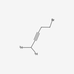 [2H]C([2H])C#CCCBr